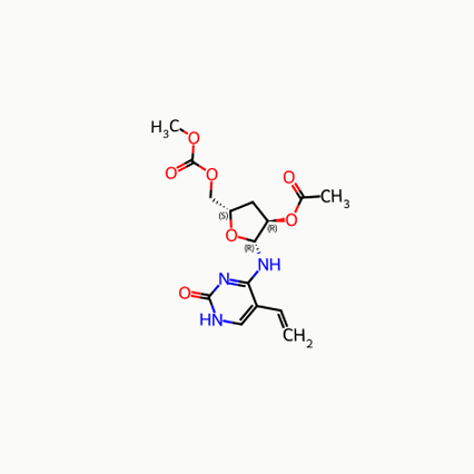 C=Cc1c[nH]c(=O)nc1N[C@@H]1O[C@H](COC(=O)OC)C[C@H]1OC(C)=O